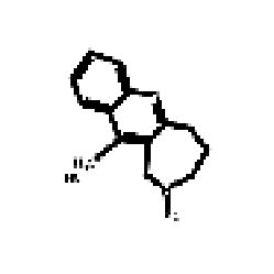 CC(=O)N1CCCc2nc3ccccc3c(C)c2C1.Cl